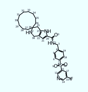 O=C(NCc1ccc(S(=O)(=O)c2cncc(F)c2)cc1)c1cc2c([nH]1)CC1(CCCCCCCCCC1)NC2